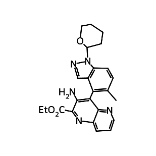 CCOC(=O)c1nc2cccnc2c(-c2c(C)ccc3c2cnn3C2CCCCO2)c1N